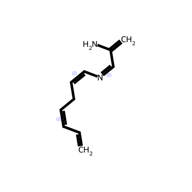 C=C/C=C\C/C=C\N=C/C(=C)N